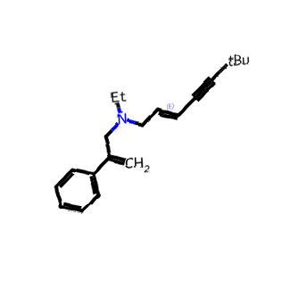 C=C(CN(CC)C/C=C/C#CC(C)(C)C)c1ccccc1